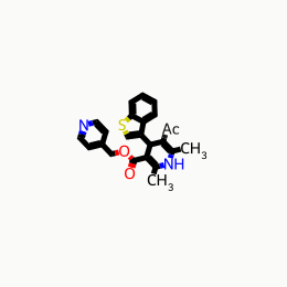 CC(=O)C1=C(C)NC(C)=C(C(=O)OCc2ccncc2)C1c1csc2ccccc12